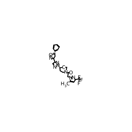 Cc1cc(C(F)(F)F)nn1CC(=O)N1CCC(n2ncc(C3=NO[C@H](c4ccccc4)C3)n2)CC1